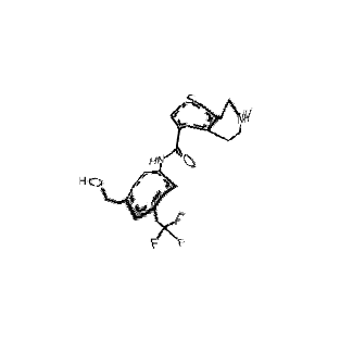 O=C(Nc1cc(CO)cc(C(F)(F)F)c1)c1csc2c1CCNC2